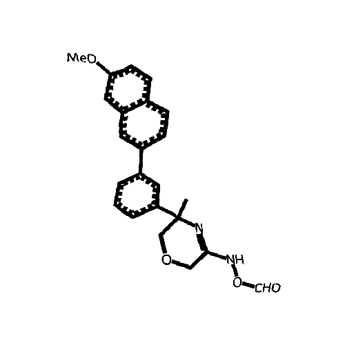 COc1ccc2ccc(-c3cccc(C4(C)COCC(NOC=O)=N4)c3)cc2c1